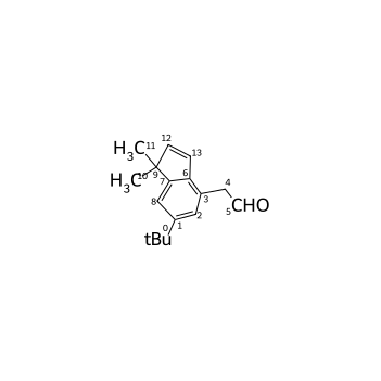 CC(C)(C)c1cc(CC=O)c2c(c1)C(C)(C)C=C2